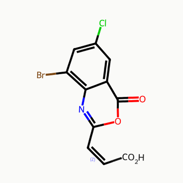 O=C(O)/C=C\c1nc2c(Br)cc(Cl)cc2c(=O)o1